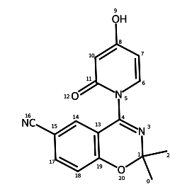 CC1(C)N=C(n2ccc(O)cc2=O)c2cc(C#N)ccc2O1